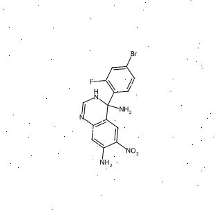 Nc1cc2c(cc1[N+](=O)[O-])C(N)(c1ccc(Br)cc1F)NC=N2